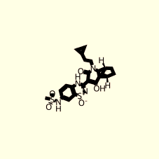 CS(=O)(=O)Nc1ccc2c(c1)[S+]([O-])N=C(C1=C(O)C3C([C@@H]4CC[C@H]3C4)N(CCC3CC3)C1=O)N2